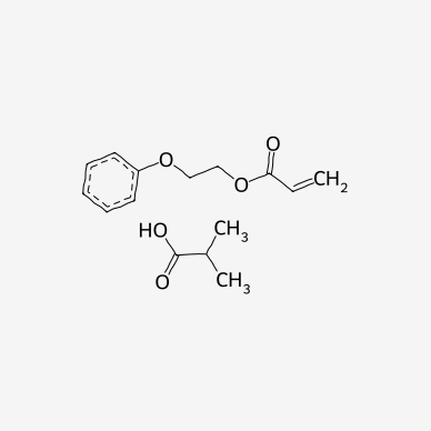 C=CC(=O)OCCOc1ccccc1.CC(C)C(=O)O